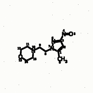 Cc1cc(N=O)nn1CCN1CCOCC1